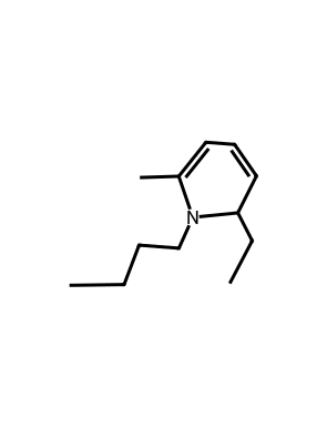 CCCCN1C(C)=CC=CC1CC